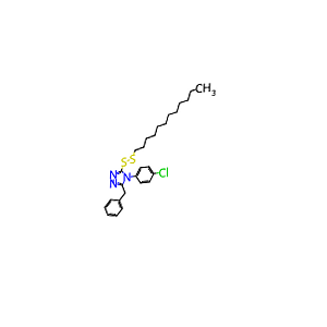 CCCCCCCCCCCCSSc1nnc(Cc2ccccc2)n1-c1ccc(Cl)cc1